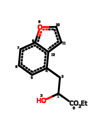 CCOC(=O)C(O)Cc1cccc2occc12